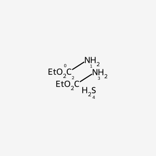 CCOC(N)=O.CCOC(N)=O.S